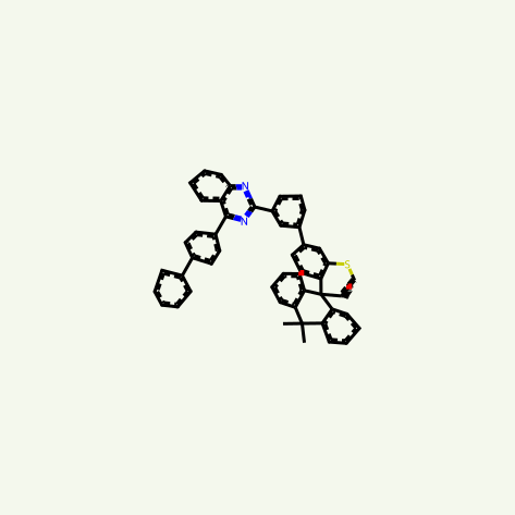 CC1(C)c2ccccc2C2(c3ccccc3Sc3cc(-c4cccc(-c5nc(-c6ccc(-c7ccccc7)cc6)c6ccccc6n5)c4)ccc32)c2ccccc21